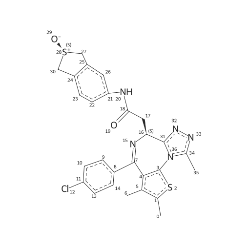 Cc1sc2c(c1C)C(c1ccc(Cl)cc1)=N[C@@H](CC(=O)Nc1ccc3c(c1)C[S@+]([O-])C3)c1nnc(C)n1-2